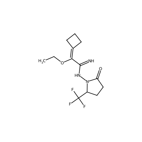 CCOC(C(=N)NN1C(=O)CCC1C(F)(F)F)=C1CCC1